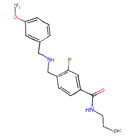 CCCCCCCCCCCCNC(=O)c1ccc(CNCc2cccc(OC(F)(F)F)c2)c(Br)c1